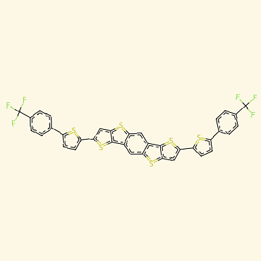 FC(F)(F)c1ccc(-c2ccc(-c3cc4sc5cc6c(cc5c4s3)sc3cc(-c4ccc(-c5ccc(C(F)(F)F)cc5)s4)sc36)s2)cc1